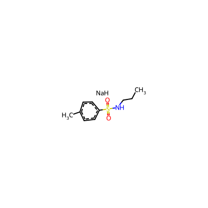 CCCNS(=O)(=O)c1ccc(C)cc1.[NaH]